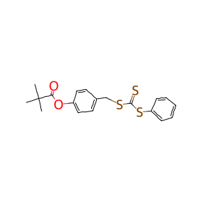 CC(C)(C)C(=O)Oc1ccc(CSC(=S)Sc2ccccc2)cc1